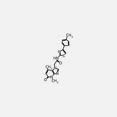 Cc1ccc(-c2csc(NC(=O)Cn3cnc4c3c(C)cc(=O)n4C)n2)cc1